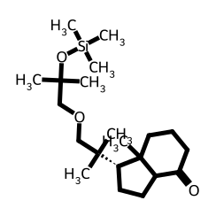 CC(C)(COCC(C)(C)[C@H]1CCC2C(=O)CCCC21C)O[Si](C)(C)C